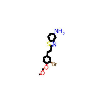 COCOc1ccc(/C=C/c2nc3cc(N)ccc3s2)cc1Br